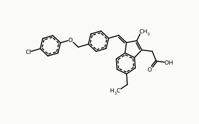 CCc1ccc2c(c1)C(CC(=O)O)=C(C)/C2=C/c1ccc(COc2ccc(Cl)cc2)cc1